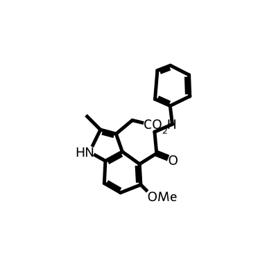 COc1ccc2[nH]c(C)c(CC(=O)O)c2c1C(=O)CCc1ccccc1